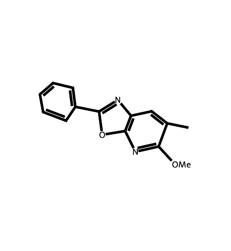 COc1nc2oc(-c3ccccc3)nc2cc1C